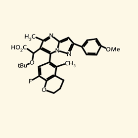 COc1ccc(-c2cc3nc(C)c(C(OC(C)(C)C)C(=O)O)c(-c4cc(F)c5c(c4C)CCCO5)n3n2)cc1